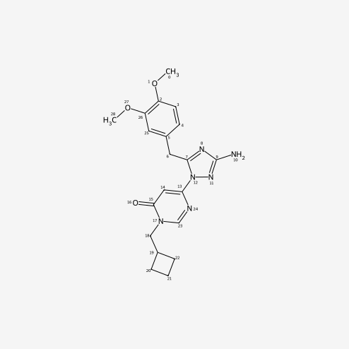 COc1ccc(Cc2nc(N)nn2-c2cc(=O)n(CC3CCC3)cn2)cc1OC